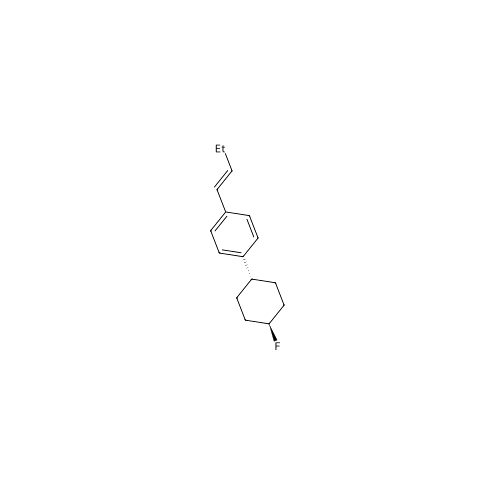 CCC=Cc1ccc([C@H]2CC[C@H](F)CC2)cc1